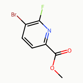 COC(=O)c1ccc(Br)c(F)n1